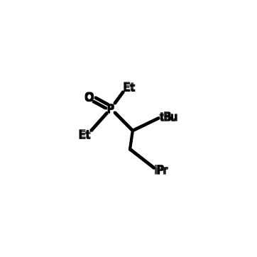 CCP(=O)(CC)C(CC(C)C)C(C)(C)C